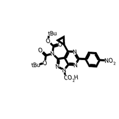 CC(C)(C)OC(=O)N(C(=O)OC(C)(C)C)c1nn(C(=O)O)c2nc(-c3ccc([N+](=O)[O-])cc3)nc(C3CC3)c12